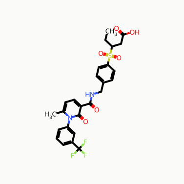 CCC(CC(=O)O)S(=O)(=O)c1ccc(CNC(=O)c2ccc(C)n(-c3cccc(C(F)(F)F)c3)c2=O)cc1